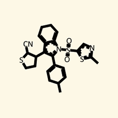 Cc1ncc(S(=O)(=O)n2c(C3=CCC(C)C=C3)c(C3CCSC3C#N)c3c2=CCCC=3)s1